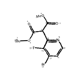 COC(=O)C(C(=O)OC(C)(C)C)c1nccc(Br)c1F